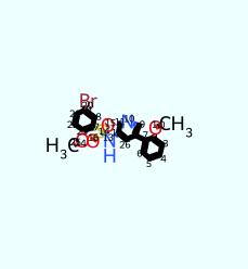 COc1ccccc1-c1cncc(NS(=O)(=O)c2cc(Br)ccc2OC)c1